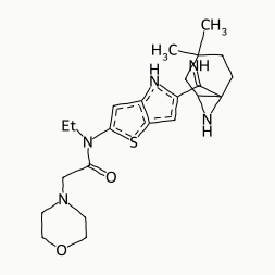 CCN(C(=O)CN1CCOCC1)c1cc2[nH]c(C(=N)C34CCC(C)(C)CC3N4)cc2s1